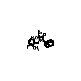 Cc1c(F)cccc1CN1N(C2C3CC4CC(C3)CC2C4)C(=O)C1(C)C